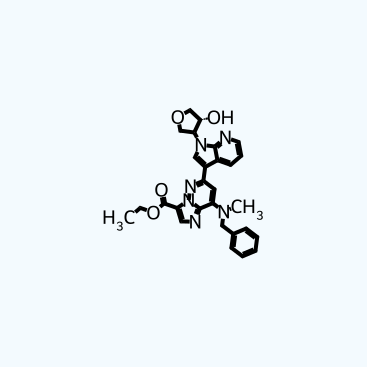 CCOC(=O)c1cnc2c(N(C)Cc3ccccc3)cc(-c3cn(C4COC[C@@H]4O)c4ncccc34)nn12